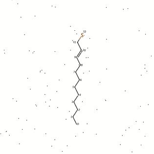 CCCCCCCCC/C=C/C[S]